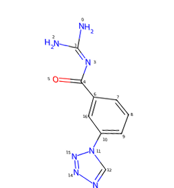 NC(N)=NC(=O)c1cccc(-n2cnnn2)c1